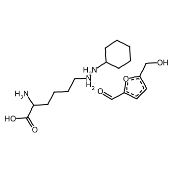 NC1CCCCC1.NCCCCC(N)C(=O)O.O=Cc1ccc(CO)o1